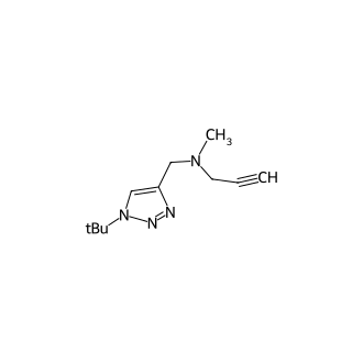 C#CCN(C)Cc1cn(C(C)(C)C)nn1